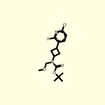 COCN(C(=O)OC(C)(C)C)C1CC(c2ccc(Cl)nc2F)C1